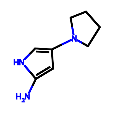 Nc1cc(N2CCCC2)c[nH]1